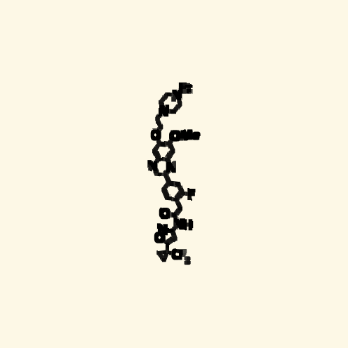 CCN1CCN(CCOc2cc3ncc(-c4ccc(CC(=O)Nc5cc(C6(C(F)(F)F)CC6)on5)c(F)c4)nc3cc2OC)CC1